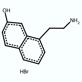 Br.NCCc1cccc2ccc(O)cc12